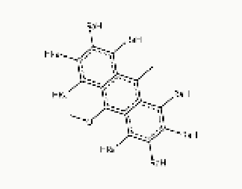 COc1c2[c]([RaH])[c]([RaH])[c]([RaH])[c]([RaH])c2c(C)c2[c]([RaH])[c]([RaH])[c]([RaH])[c]([RaH])c12